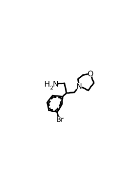 NCC(CN1CCOCC1)c1cccc(Br)c1